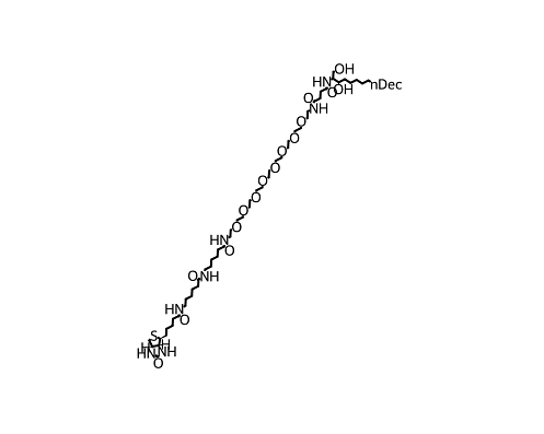 CCCCCCCCCCCCCCC[C@H](O)C(CO)NC(=O)CCC(=O)NCCOCCOCCOCCOCCOCCOCCOCCOCCNC(=O)CCCCCNC(=O)CCCCCNC(=O)CCCC[C@@H]1SC[C@@H]2NC(=O)N[C@@H]21